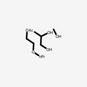 CC(O)CO.CCCOCCOC(C)=O.CO